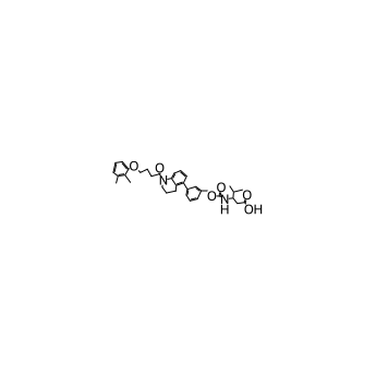 Cc1cccc(OCCCC(=O)N2CCCc3c(-c4cccc(COC(=O)NC(CC(=O)O)C(C)C)c4)cccc32)c1C